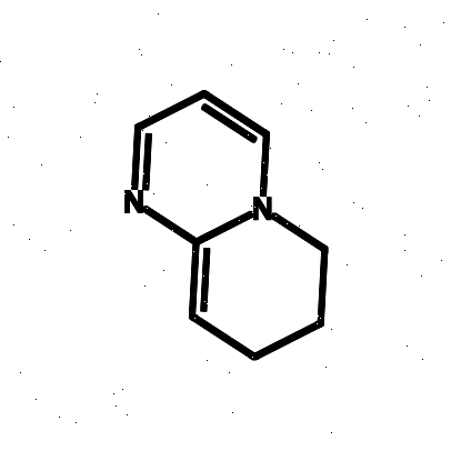 C1=CN2CCCC=C2N=C1